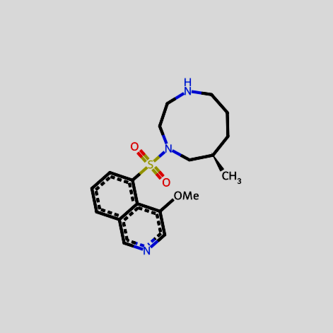 COc1cncc2cccc(S(=O)(=O)N3CCNCCC[C@@H](C)C3)c12